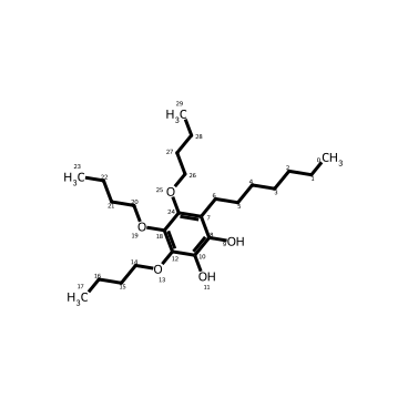 CCCCCCCc1c(O)c(O)c(OCCCC)c(OCCCC)c1OCCCC